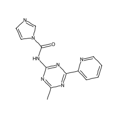 Cc1nc(NC(=O)n2ccnc2)nc(-c2ccccn2)n1